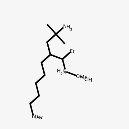 CCCCCCCCCCCCCCCC(CC(C)(C)N)C(CC)[SiH2]OC.Cl